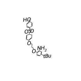 CC(C)(C)c1ccc(OCCCOC2=CCC(S(=O)(=O)c3ccc(O)cc3)C=C2)c(N)c1